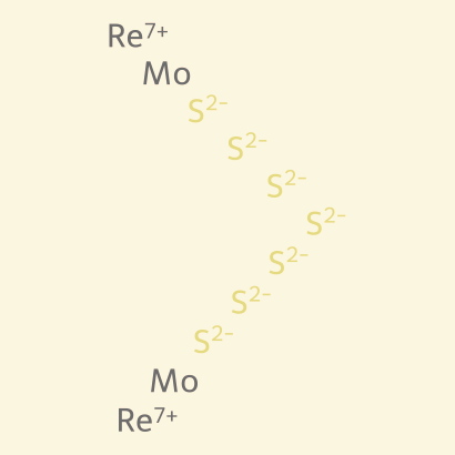 [Mo].[Mo].[Re+7].[Re+7].[S-2].[S-2].[S-2].[S-2].[S-2].[S-2].[S-2]